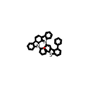 C1=CC2c3ccccc3N(c3ccccc3)C2c2c1c1ccccc1n2-c1ccc2sc3cccc(-c4ccccc4)c3c2c1